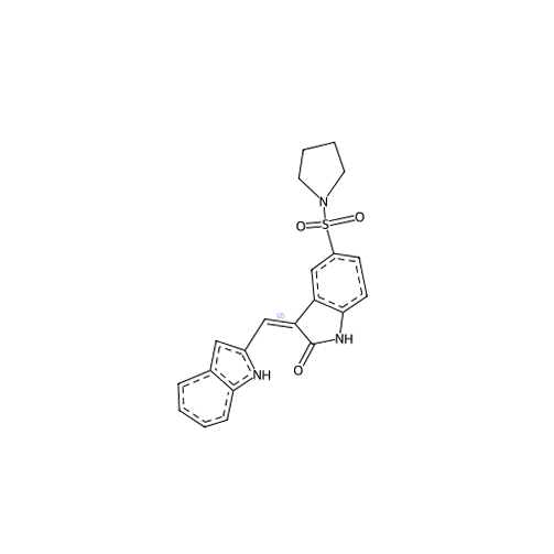 O=C1Nc2ccc(S(=O)(=O)N3CCCC3)cc2/C1=C/c1cc2ccccc2[nH]1